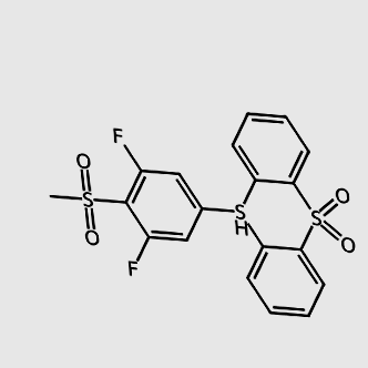 CS(=O)(=O)c1c(F)cc([SH]2c3ccccc3S(=O)(=O)c3ccccc32)cc1F